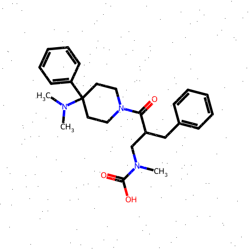 CN(CC(Cc1ccccc1)C(=O)N1CCC(c2ccccc2)(N(C)C)CC1)C(=O)O